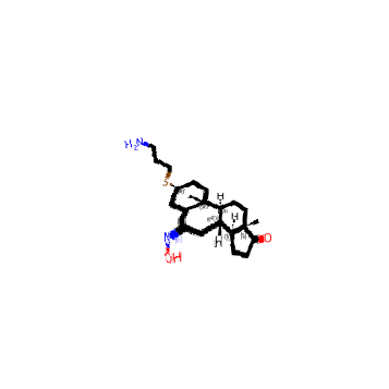 C[C@]12CC[C@@H](SCCCN)CC1/C(=N/O)C[C@@H]1[C@@H]2CC[C@]2(C)C(=O)CC[C@@H]12